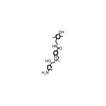 Cc1cc(CCNC(=O)c2cccc(C[C@@H](C)NC[C@H](O)c3ccc(N)nc3)c2)c(C)cc1O